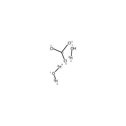 ClC(Cl)Cl.[2H]O.[2H]O[2H]